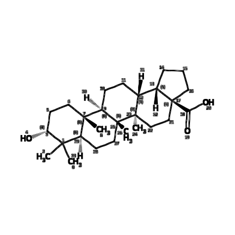 CC1(C)[C@H](O)CC[C@]2(C)[C@H]3CC[C@@H]4[C@@H]5CCC[C@]5(C(=O)O)CC[C@@]4(C)[C@]3(C)CC[C@@H]12